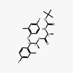 Cc1cc(F)ccc1S[C@H](c1ccc(F)cc1C)[C@H](C)OC(=O)[C@H](C)NC(=O)OC(C)(C)C